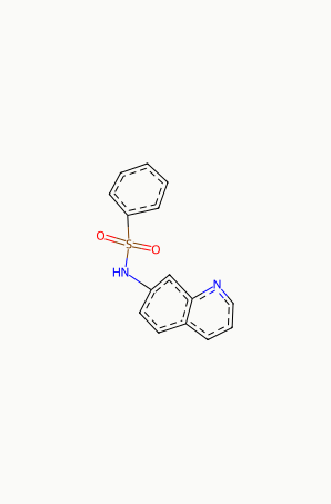 O=S(=O)(Nc1ccc2cccnc2c1)c1ccccc1